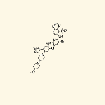 COc1cc(N2CCC(N3CCC(OC)CC3)CC2)c(-c2cnn(C)c2)cc1Nc1ncc(Br)c(Nc2ccc3nccnc3c2P(C)(C)=O)n1